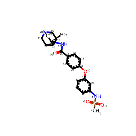 CS(=O)(=O)Nc1cccc(Oc2ccc(C(=O)N[C@H]3CN4CCC3CC4)cc2)c1